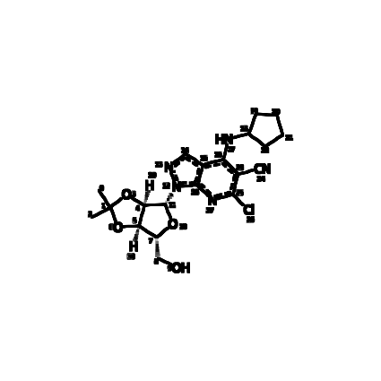 CC1(C)O[C@@H]2[C@H](O1)[C@@H](CO)O[C@H]2n1ncc2c(NC3CCCC3)c(C#N)c(Cl)nc21